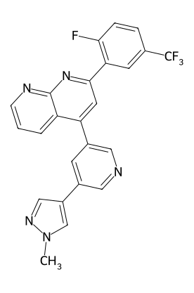 Cn1cc(-c2cncc(-c3cc(-c4cc(C(F)(F)F)ccc4F)nc4ncccc34)c2)cn1